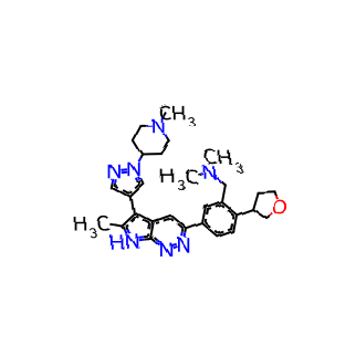 Cc1[nH]c2nnc(-c3ccc(C4CCOC4)c(CN(C)C)c3)cc2c1-c1cnn(C2CCN(C)CC2)c1